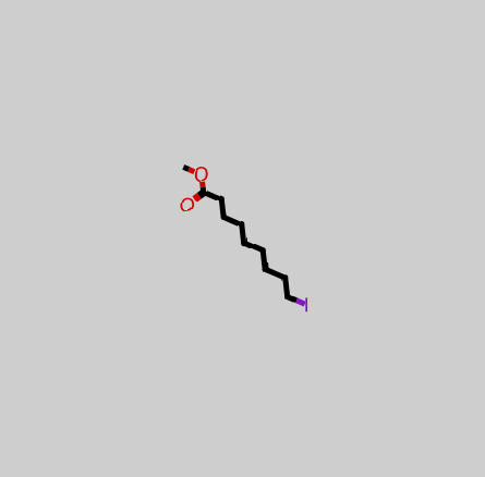 COC(=O)CCCCCCCCI